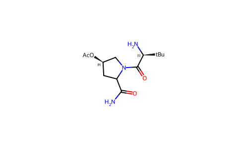 CC(=O)O[C@@H]1CC(C(N)=O)N(C(=O)[C@@H](N)C(C)(C)C)C1